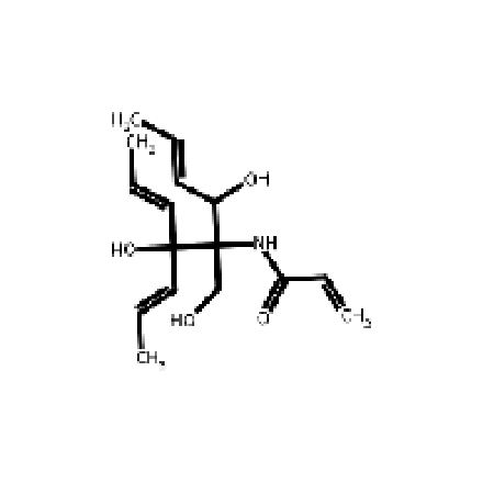 C=CC(=O)NC(CO)(C(O)C=CC)C(O)(C=CC)C=CC